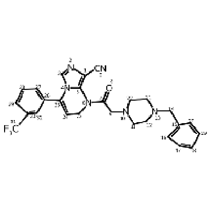 N#Cc1ncn2c1N(C(=O)CN1CCN(Cc3ccccc3)CC1)CC=C2c1cccc(C(F)(F)F)c1